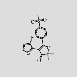 CC1(C)OC(c2ccc(S(C)(=O)=O)cc2)=C(c2sccc2F)C1=O